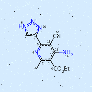 CCOC(=O)c1c(C)nc(-c2c[nH]nn2)c(C#N)c1N